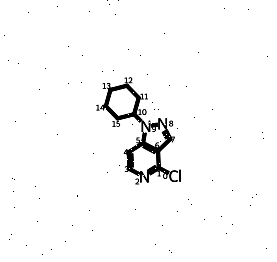 Clc1nccc2c1cnn2C1CCCCC1